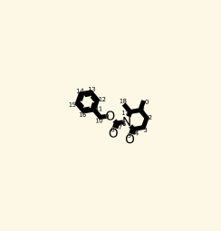 CC1CCC(=O)N(C(=O)OCc2ccccc2)C1C